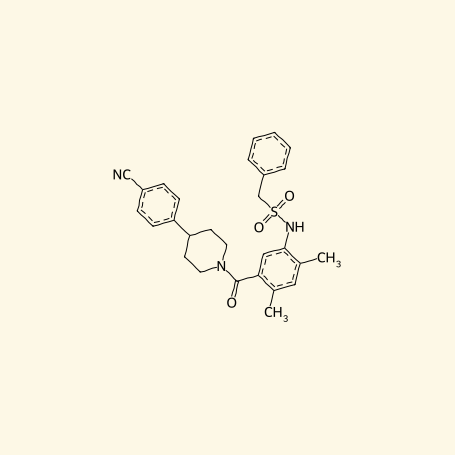 Cc1cc(C)c(C(=O)N2CCC(c3ccc(C#N)cc3)CC2)cc1NS(=O)(=O)Cc1ccccc1